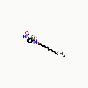 CCCCCCCCCCCCONC(=O)c1cccc(NC=O)c1Cl